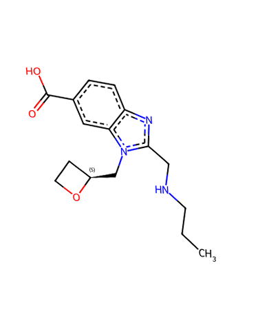 CCCNCc1nc2ccc(C(=O)O)cc2n1C[C@@H]1CCO1